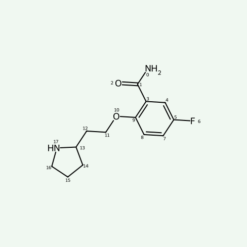 NC(=O)c1cc(F)ccc1OCCC1CCCN1